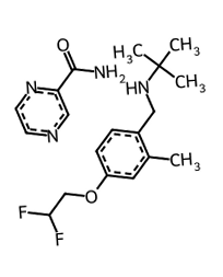 Cc1cc(OCC(F)F)ccc1CNC(C)(C)C.NC(=O)c1cnccn1